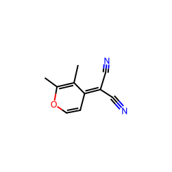 CC1=C(C)C(=C(C#N)C#N)C=CO1